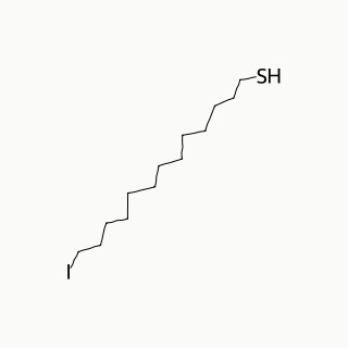 SCCCCCCCCCCCCCI